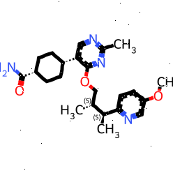 COc1ccc([C@@H](C)[C@H](C)COc2nc(C)ncc2[C@H]2CC[C@@H](C(N)=O)CC2)nc1